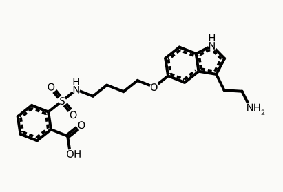 NCCc1c[nH]c2ccc(OCCCCNS(=O)(=O)c3ccccc3C(=O)O)cc12